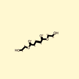 O=C(/C=C/CC(=O)OCCO)OCCO